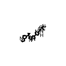 C[C@@H](NC(=O)c1ccc(-c2cnc3ncc(C4(c5ccc6ncccc6c5)CC4)n3c2)cn1)C(=O)N(C)C